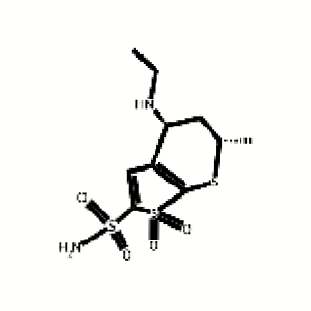 CCN[C@H]1C[C@H](C)SC2=C1C=C(S(N)(=O)=O)S2(=O)=O